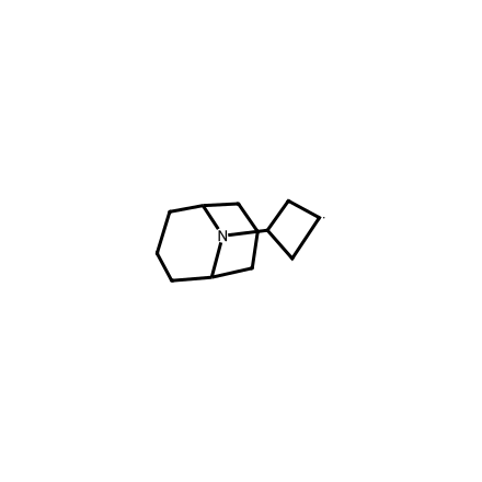 [CH]1CC(N2C3CCCC2CCC3)C1